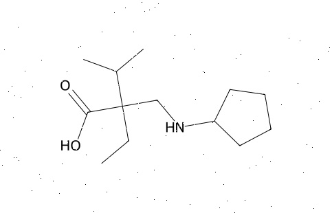 CCC(CNC1CCCC1)(C(=O)O)C(C)C